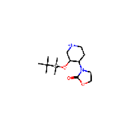 CC(C)(C)[Si](C)(C)OC1CNCCC1N1CCOC1=O